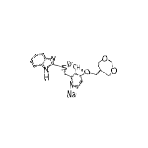 Cc1c(OCC2COCOC2)ccnc1C[S+]([O-])c1nc2ccccc2[nH]1.[Na]